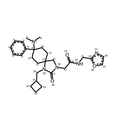 CN(C)C1(c2ccccc2)CCC2(CC1)CN(CC(=O)NCc1ncco1)C(=O)N2CC1CCC1